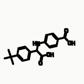 CC(C)(C)c1ccc(C(Nc2ccc(C(=O)O)cc2)C(=O)O)cc1